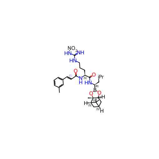 Cc1cccc(/C=C/C(=O)N[C@@H](CCCNC(=N)N[N+](=O)[O-])C(=O)N[C@@H](CC(C)C)B2O[C@@H]3C[C@@H]4C[C@@H](C4(C)C)[C@]3(C)O2)c1